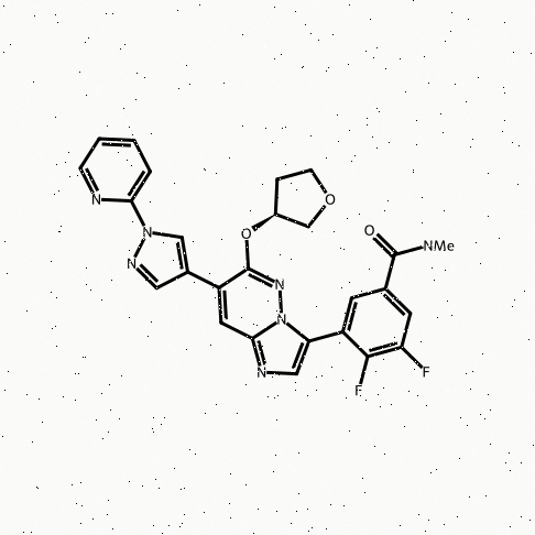 CNC(=O)c1cc(F)c(F)c(-c2cnc3cc(-c4cnn(-c5ccccn5)c4)c(O[C@H]4CCOC4)nn23)c1